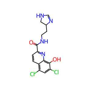 O=C(NCCC1CNC=N1)c1ccc2c(Cl)cc(Cl)c(O)c2n1